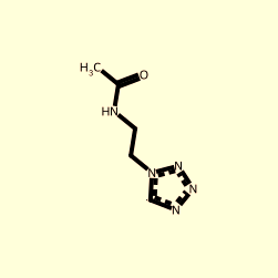 CC(=O)NCCn1[c]nnn1